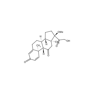 CO[C@]1(C(=O)CO)CC[C@H]2[C@@H]3CCC4=CC(=O)C=C[C@]4(C)[C@H]3C(=O)C[C@@]21C